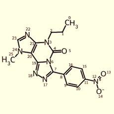 CCCn1c(=O)n2c(-c3ccc([N+](=O)[O-])cc3)nnc2c2c1ncn2C